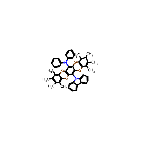 CC1=C(C)C(C)C(C)c2sc3c(N(c4ccccc4)c4ccccc4)c4sc5c(C)c(C)c(C)c(C)c5sc4c(-n4c5ccccc5c5ccccc54)c3sc21